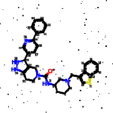 O=C(N[C@@H]1CCCN(Cc2csc3ccccc23)C1)N1CCC2=C(C1)C(c1ccc(-c3ccccc3)nc1)NN2